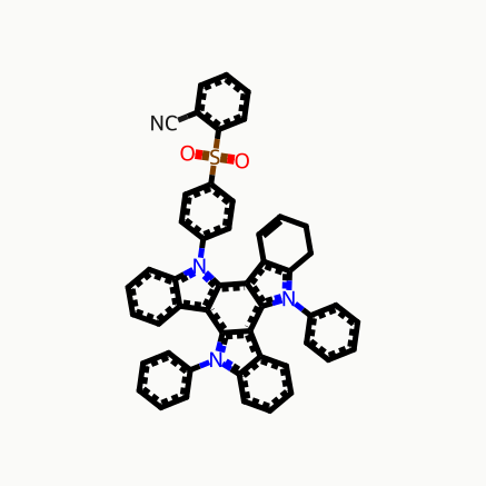 N#Cc1ccccc1S(=O)(=O)c1ccc(-n2c3ccccc3c3c2c2c4c(n(-c5ccccc5)c2c2c5ccccc5n(-c5ccccc5)c23)CCC=C4)cc1